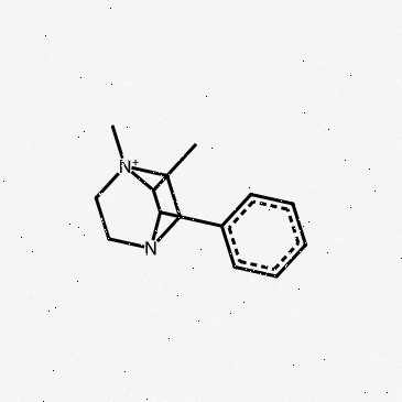 CC1C(c2ccccc2)N2CC[N+]1(C)CC2